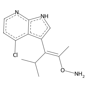 C/C(ON)=C(\c1c[nH]c2nccc(Cl)c12)C(C)C